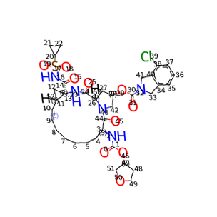 O=C(N[C@H]1CCCCC/C=C\[C@@H]2C[C@@]2(C(=O)NS(=O)(=O)C2CC2)NC(=O)[C@@H]2C[C@@H](OC(=O)N3Cc4cccc(Cl)c4C3)CN2C1=O)O[C@@H]1CCOC1